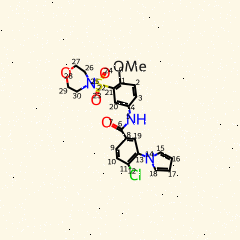 COc1ccc(NC(=O)c2ccc(Cl)c(-n3cccc3)c2)cc1S(=O)(=O)N1CCOCC1